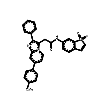 COc1ccc(-c2ccn3c(CC(=O)Nc4ccc5c(c4)S(=O)(=O)C=C5)c(-c4ccccc4)nc3c2)cc1